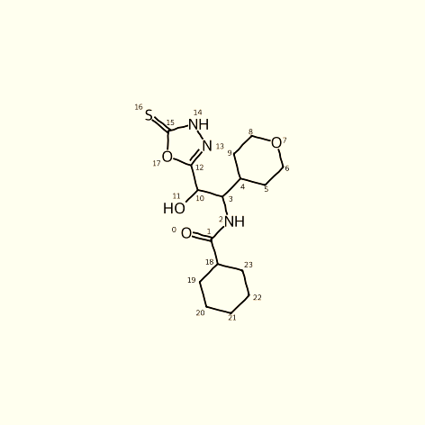 O=C(NC(C1CCOCC1)C(O)c1n[nH]c(=S)o1)C1CCCCC1